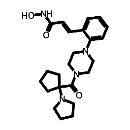 O=C(/C=C/c1ccccc1N1CCN(C(=O)C2(N3CCCC3)CCCC2)CC1)NO